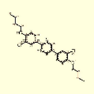 CCCCOc1ccc(-c2cnc(-c3ccc(OCCCC)c(Cl)c3)nc2)cc1Cl